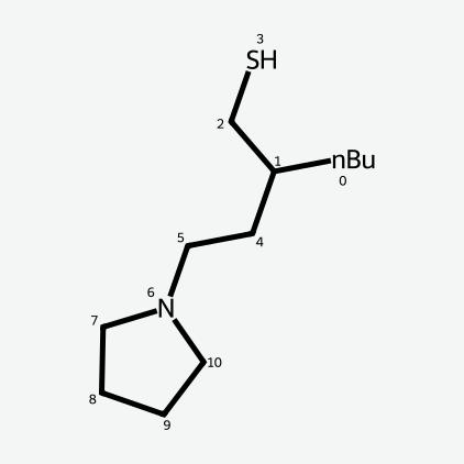 CCCCC(CS)CCN1CCCC1